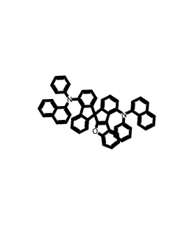 c1ccc(N(c2cccc3c2-c2ccccc2C32c3cccc(N(c4ccccc4)c4cccc5ccccc45)c3-c3c2oc2ccccc32)c2cccc3ccccc23)cc1